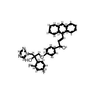 O=C(C=Cc1c2ccccc2cc2ccccc12)c1ccc(OCC(O)(Cn2cncn2)c2ccc(F)cc2F)cc1